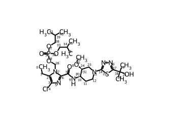 CCc1c(Cl)nc(C(=O)N[C@@H]2CCN(c3nnc(C(C)(C)O)s3)C[C@@H]2OC)n1COP(=O)(OCC(C)C)OCC(C)C